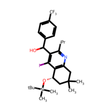 CC(C)c1nc2c(c(I)c1C(O)c1ccc(C(F)(F)F)cc1)[C@@H](O[Si](C)(C)C(C)(C)C)CC(C)(C)C2